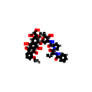 COc1cccc2c1C(=O)c1c(O)c3c(c(O)c1C2=O)C[C@@](O)(C(=O)CO)C[C@@H]3OC1CC(NC(=O)[C@@H]2CCCN2C(=O)[C@@H](C)NC(=O)c2ccccc2)C(O)C(C)O1